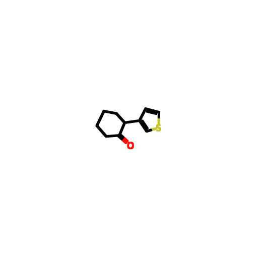 O=C1CCCCC1c1ccsc1